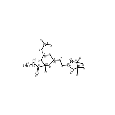 CN(C)C[C@@H]1C[C@@H](CCB2OC(C)(C)C(C)(C)O2)CC(C)(C(=O)NC(C)(C)C)C1